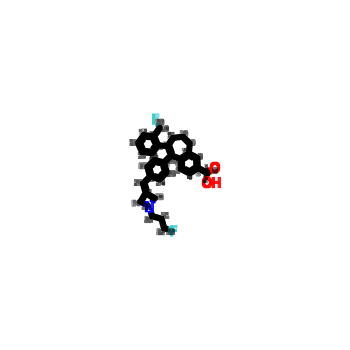 O=C(O)c1ccc2c(c1)CCCC(c1ccccc1CF)=C2c1ccc(C=C2CN(CCCF)C2)cc1